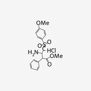 COC(=O)C(c1ccccc1)C(N)CS(=O)(=O)c1ccc(OC)cc1.Cl